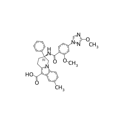 COc1ncn(-c2ccc(C(=O)N[C@]3(c4ccccc4)CCc4c(C(=O)O)c5cc(C)ccc5n4C3)c(OC)c2)n1